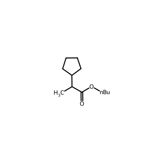 CCCCOC(=O)C(C)C1CCCC1